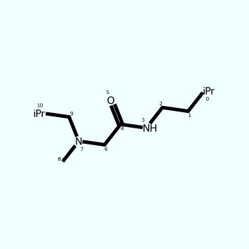 CC(C)CCNC(=O)CN(C)CC(C)C